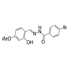 COc1ccc(/C=N/NC(=O)c2ccc(Br)cc2)c(O)c1